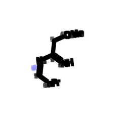 CCC/C=N\C(=N)COC